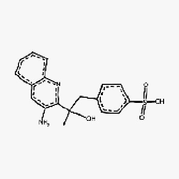 CC(O)(Cc1ccc(S(=O)(=O)O)cc1)c1nc2ccccc2cc1N